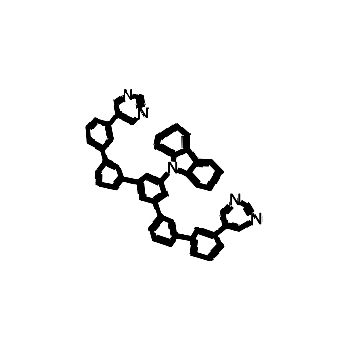 c1cc(-c2cncnc2)cc(-c2cccc(-c3cc(-c4cccc(-c5cccc(-c6cncnc6)c5)c4)cc(-n4c5ccccc5c5ccccc54)c3)c2)c1